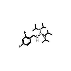 CC(C)N(C(C)C)P(NCc1ccc(F)cc1F)N(C(C)C)C(C)C